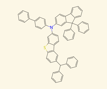 c1ccc(-c2ccc(N(c3ccc4c(c3)C(c3ccccc3)(c3ccccc3)c3ccccc3-4)c3ccc4c(c3)sc3ccc(C(c5ccccc5)c5ccccc5)cc34)cc2)cc1